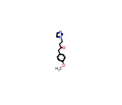 COc1ccc(CC(=O)CCn2ccnc2)cc1